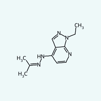 CCn1ncc2c(NN=C(C)C)ccnc21